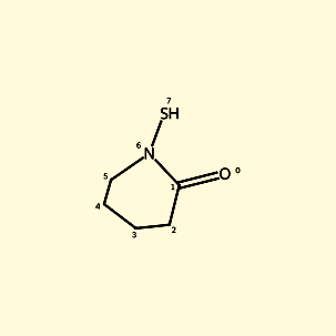 O=C1CCCCN1S